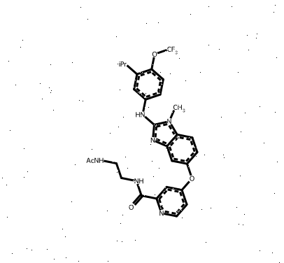 CC(=O)NCCNC(=O)c1cc(Oc2ccc3c(c2)nc(Nc2ccc(OC(F)(F)F)c(C(C)C)c2)n3C)ccn1